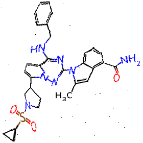 Cc1cc2c(C(N)=O)cccc2n1-c1nc(NCc2ccccc2)c2ccc(C3CCN(S(=O)(=O)C4CC4)C3)n2n1